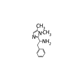 Cc1cnc(C(N)Cc2ccccc2)n1C